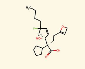 CCCCC(C)(F)/C=C\[C@@H](O)[C@@](CCC1=CCO1)(C(=O)O)C1CCCC1